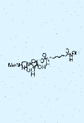 CNc1ccn([C@@H]2O[C@H](COC(=O)NCCCCCCC(=O)NO)[C@@H](O)[C@@H]2O)c(=O)n1